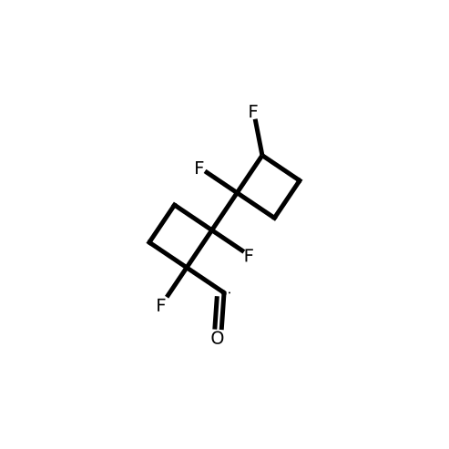 O=[C]C1(F)CCC1(F)C1(F)CCC1F